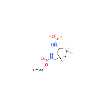 CCCCCCOC(=O)NCC1(C)CC(NC(O)=S)CC(C)(C)C1